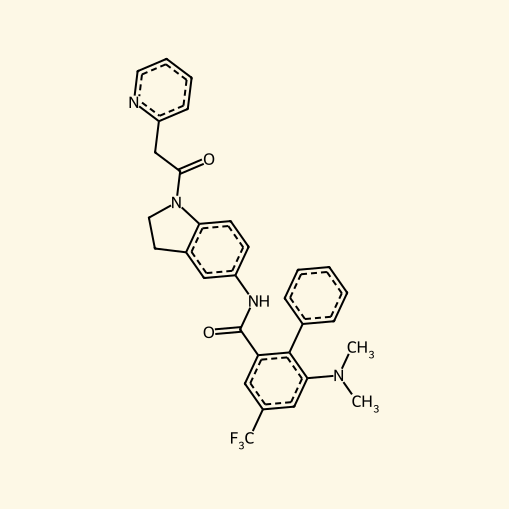 CN(C)c1cc(C(F)(F)F)cc(C(=O)Nc2ccc3c(c2)CCN3C(=O)Cc2ccccn2)c1-c1ccccc1